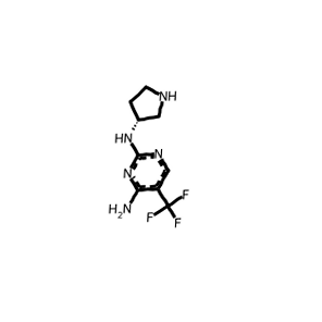 Nc1nc(N[C@@H]2CCNC2)ncc1C(F)(F)F